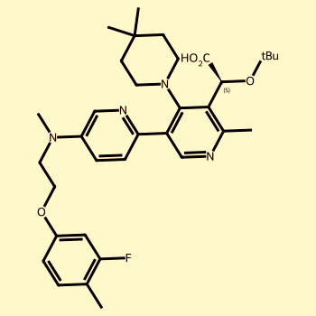 Cc1ccc(OCCN(C)c2ccc(-c3cnc(C)c([C@H](OC(C)(C)C)C(=O)O)c3N3CCC(C)(C)CC3)nc2)cc1F